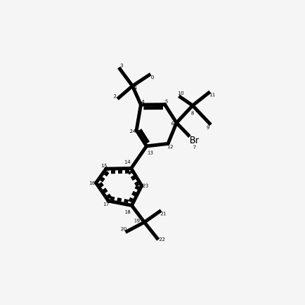 CC(C)(C)C1=CC(Br)(C(C)(C)C)CC(c2cccc(C(C)(C)C)c2)=C1